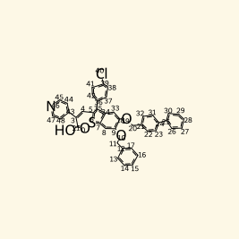 O=C(O)C(=Cc1sc2cc(OCc3ccccc3)c(OCc3ccc(-c4ccccc4)cc3)cc2c1-c1ccc(Cl)cc1)c1ccncc1